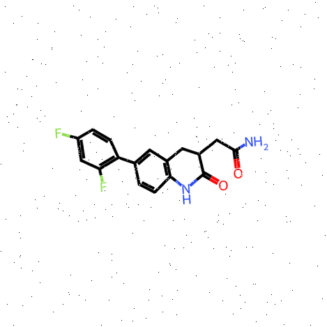 NC(=O)CC1Cc2cc(-c3ccc(F)cc3F)ccc2NC1=O